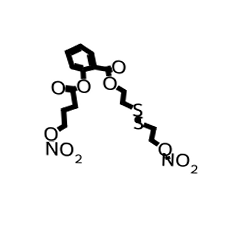 O=C(CCCO[N+](=O)[O-])Oc1ccccc1C(=O)OCCSSCCO[N+](=O)[O-]